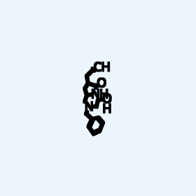 C#CCC1CC(CN(CCO)Cc2ccccc2)NC1=O